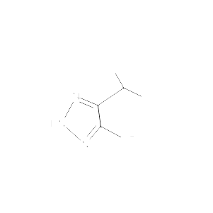 CC(F)c1n[nH]nc1C(F)(F)F